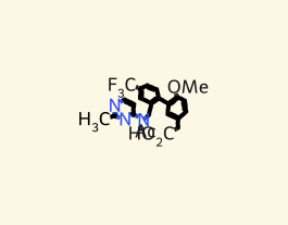 COc1ccc(CC(=O)O)cc1-c1ccc(C(F)(F)F)cc1CN(C(C)=O)c1ccnc(C)n1